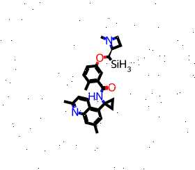 Cc1cc(C2(NC(=O)c3cc(OC([SiH3])[C@@H]4CCN4C)ccc3C)CC2)c2ccc(C)nc2c1